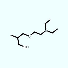 [CH2]C(CO)COCCN(CC)CC